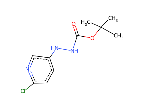 CC(C)(C)OC(=O)NNc1ccc(Cl)nc1